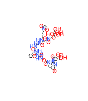 C=C(CNC(=O)[C@H](CCC(=O)NCCO[C@H](CO)[C@@H](O)[C@H](O)CO)NC(=O)CCCCCN1C(=O)C=CC1=O)NCC(=O)N[C@@H](Cc1ccccc1)C(=O)NCC(=O)NCOCC(=O)N[C@@H]1CCc2cc(OC)cc3nc4c(c1c23)Cn1c-4cc2c(c1=O)COC(=O)[C@]2(O)CC